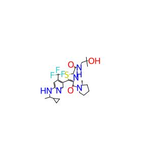 CC(Nc1cc(C(F)(F)F)c(-c2sc(C(=O)NCC(C)(C)O)nc2C(=O)N2CCCC[C@@H]2C)cn1)C1CC1